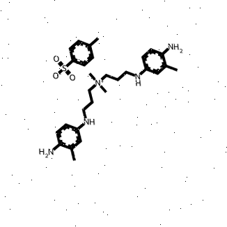 Cc1cc(NCCC[N+](C)(C)CCCNc2ccc(N)c(C)c2)ccc1N.Cc1ccc(S(=O)(=O)[O-])cc1